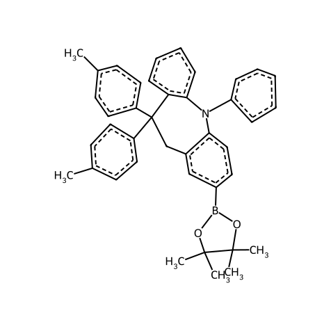 Cc1ccc(C2(c3ccc(C)cc3)Cc3cc(B4OC(C)(C)C(C)(C)O4)ccc3N(c3ccccc3)c3ccccc32)cc1